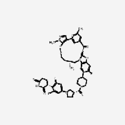 Cc1cc2cc(n1)-c1cnn(C)c1OCCC[C@@H](C)CN1/C(=N/C2=O)Nc2cc(F)c(C3CCN(C(=O)[C@@H]4CCN(c5cc(F)c([C@H]6CCC(=O)NC6=O)c(F)c5)C4)CC3)cc21